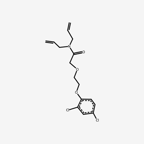 C=CCN(CC=C)C(=O)COCCOc1ccc(Cl)cc1Cl